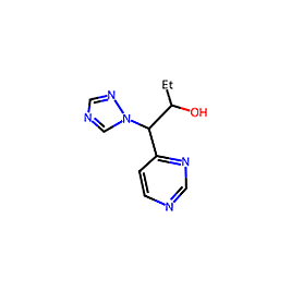 CCC(O)C(c1ccncn1)n1cncn1